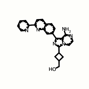 Nc1nccn2c(C3CC(CO)C3)nc(-c3ccc4ccc(-c5ccccn5)nc4c3)c12